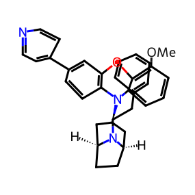 COc1cccc2c1Oc1cc(-c3ccncc3)ccc1N2[C@H]1C[C@H]2CC[C@@H](C1)N2CCc1ccccc1